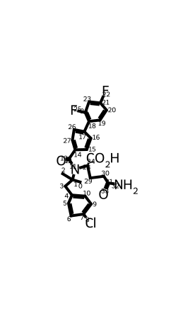 CC(C)(Cc1ccc(Cl)cc1)N(C(=O)c1ccc(-c2ccc(F)cc2F)cc1)[C@@H](CCC(N)=O)C(=O)O